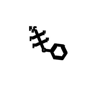 FC(F)(F)C(F)(F)C(F)(F)Oc1c[c]ccc1